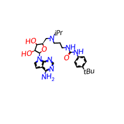 CC(C)N(CCCNC(=O)Nc1ccc(C(C)(C)C)cc1)C[C@H]1O[C@@H](n2ccc3c(N)ncnc32)[C@@H](O)C1O